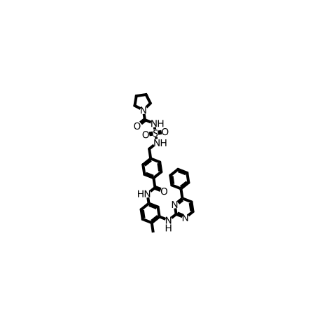 Cc1ccc(NC(=O)c2ccc(CNS(=O)(=O)NC(=O)N3CCCC3)cc2)cc1Nc1nccc(-c2ccccc2)n1